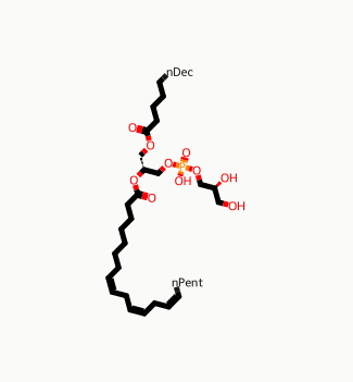 CCCCC/C=C\C/C=C\C/C=C\CCCCCCC(=O)O[C@H](COC(=O)CCCCCCCCCCCCCC)COP(=O)(O)OC[C@@H](O)CO